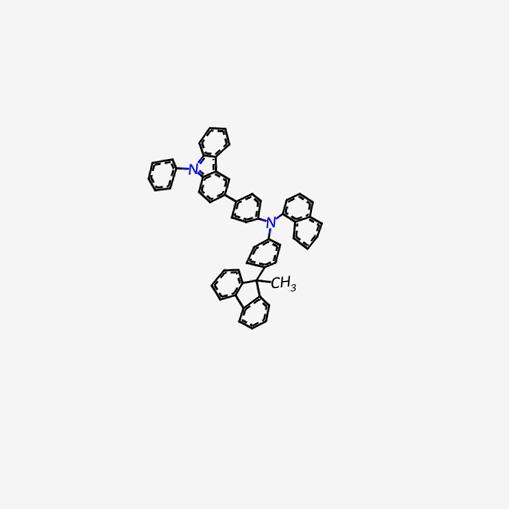 CC1(c2ccc(N(c3ccc(-c4ccc5c(c4)c4ccccc4n5-c4ccccc4)cc3)c3cccc4ccccc34)cc2)c2ccccc2-c2ccccc21